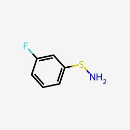 NSc1cccc(F)c1